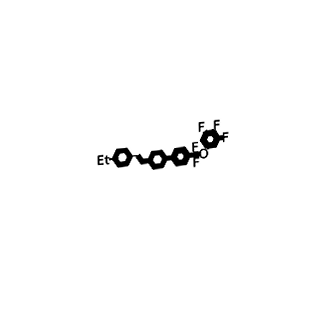 CC[C@H]1CC[C@H](CCC2CCC(c3ccc(C(F)(F)Oc4cc(F)c(F)c(F)c4)cc3)CC2)CC1